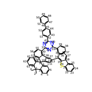 CC1(C)c2ccccc2C2(c3ccc(-c4cccc5c4sc4ccccc45)cc3-c3c(-c4nc(-c5ccccc5)nc(-c5ccc(-c6ccccc6)cc5)n4)cccc32)c2ccccc21